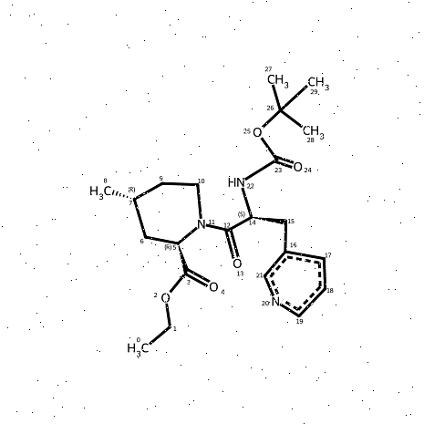 CCOC(=O)[C@H]1C[C@H](C)CCN1C(=O)[C@H](Cc1cccnc1)NC(=O)OC(C)(C)C